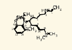 C=CNCCCCC(C/C=C/CN(C)C)N(NC)c1c(C)cccc1N=C